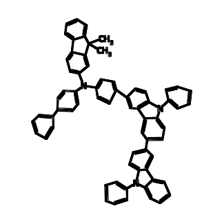 CC1(C)c2ccccc2-c2ccc(N(c3ccc(-c4ccccc4)cc3)c3ccc(-c4ccc5c(c4)c4cc(-c6ccc7c(c6)c6ccccc6n7-c6ccccc6)ccc4n5-c4ccccc4)cc3)cc21